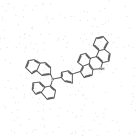 c1ccc2cc(N(c3ccc(-c4ccc5c6c(cccc46)-c4c(ccc6ccccc46)N5)cc3)c3cccc4ccccc34)ccc2c1